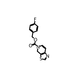 O=C(OCc1ccc(F)cc1)N1C=Cc2ncsc2C1